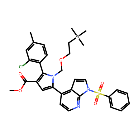 COC(=O)c1cc(-c2ccnc3c2ccn3S(=O)(=O)c2ccccc2)n(COCC[Si](C)(C)C)c1-c1ccc(C)cc1Cl